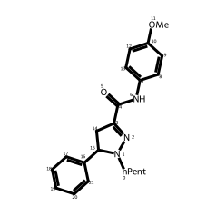 CCCCCN1N=C(C(=O)Nc2ccc(OC)cc2)CC1c1ccccc1